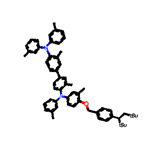 Cc1cccc(N(c2cccc(C)c2)c2ccc(-c3ccc(N(c4cccc(C)c4)c4ccc(OCc5ccc(C(CC(C)(C)C)C(C)(C)C)cc5)c(C)c4)c(C)c3)cc2C)c1